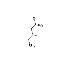 CCC(I)CC([O])=O